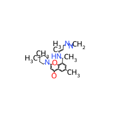 C=N/N=C\C=C(/C)N[C@H](C)c1cc(C)cc2c(=O)cc(N3CCC(C)(C)CC3)oc12